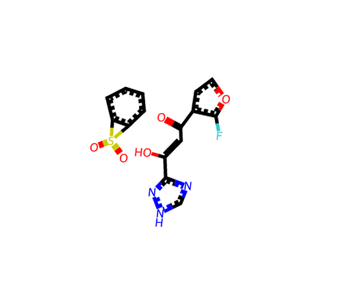 O=C(C=C(O)c1nc[nH]n1)c1ccoc1F.O=S1(=O)c2ccccc21